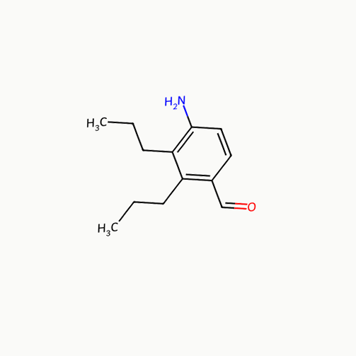 CCCc1c(N)ccc(C=O)c1CCC